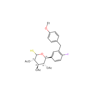 CCOc1ccc(Cc2cc([C@@H]3OC(S)[C@@H](OC(C)=O)[C@H](OC(C)=O)[C@H]3OC(C)=O)ccc2I)cc1